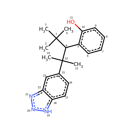 CC(C)(C)C(c1ccccc1O)C(C)(C)c1ccc2[nH]nnc2c1